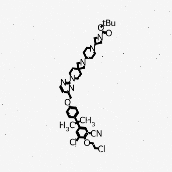 CC(C)(C)OC(=O)N1CC(N2CCC(N3CC4(CCN(c5nccc(COc6ccc(C(C)(C)c7cc(Cl)c(OCCCl)c(C#N)c7)cc6)n5)CC4)C3)CC2)C1